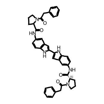 O=C(Nc1ccc2[nH]c(-c3cc4cc(NC(=O)[C@@H]5CCCN5C(=O)Cc5ccccc5)ccc4[nH]3)cc2c1)C1CCCN1C(=O)Cc1ccccc1